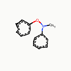 CN(Oc1ccccc1)c1ccccc1